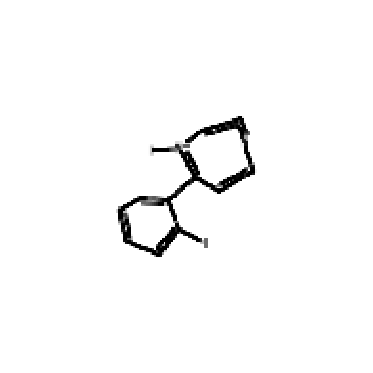 Ic1ccccc1C1=[N+](I)C=C=NC=C1